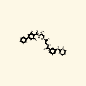 C[C@H](CNC(=O)CNC(=O)c1cccc(NC2=NCCCN2)c1)NC(=O)c1c(Cl)cc(-c2ccccc2)cc1Cl